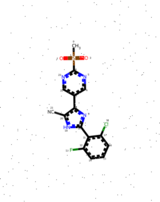 CS(=O)(=O)c1ncc(-c2nc(-c3c(F)cccc3Cl)[nH]c2C#N)cn1